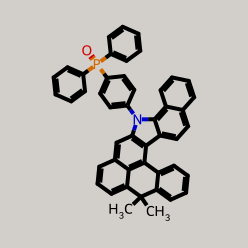 CC1(C)c2ccccc2-c2c3c1cccc3cc1c2c2ccc3ccccc3c2n1-c1ccc(P(=O)(c2ccccc2)c2ccccc2)cc1